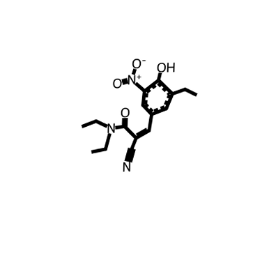 CCc1cc(C=C(C#N)C(=O)N(CC)CC)cc([N+](=O)[O-])c1O